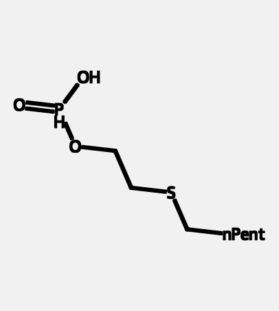 CCCCCCSCCO[PH](=O)O